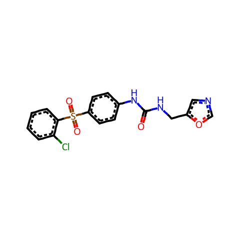 O=C(NCc1cnco1)Nc1ccc(S(=O)(=O)c2ccccc2Cl)cc1